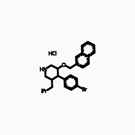 CC(C)CC1CNCC(OCc2ccc3ccccc3c2)C1c1ccc(Br)cc1.Cl